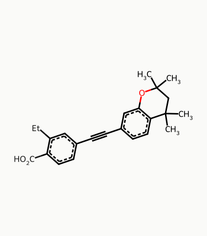 CCc1cc(C#Cc2ccc3c(c2)OC(C)(C)CC3(C)C)ccc1C(=O)O